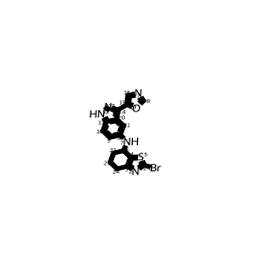 Brc1nc2c(s1)C(Nc1ccc3[nH]nc(-c4cnco4)c3c1)CCC2